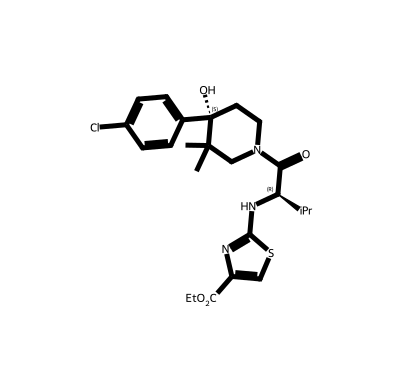 CCOC(=O)c1csc(N[C@@H](C(=O)N2CC[C@](O)(c3ccc(Cl)cc3)C(C)(C)C2)C(C)C)n1